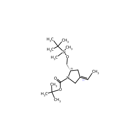 C/C=C1\C[C@@H](CO[Si](C)(C)C(C)(C)C)N(C(=O)OC(C)(C)C)C1